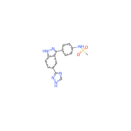 CS(=O)(=O)Nc1ccc(-c2n[nH]c3ccc(-c4nc[nH]n4)cc23)cc1